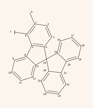 Cc1ccc2c(c1I)-c1ccccc1C21c2ccccc2-c2ccccc21